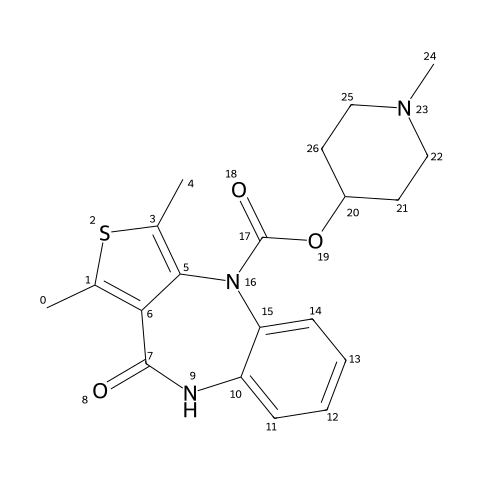 Cc1sc(C)c2c1C(=O)Nc1ccccc1N2C(=O)OC1CCN(C)CC1